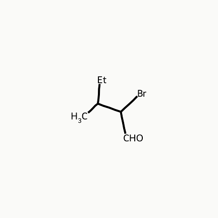 CCC(C)C(Br)C=O